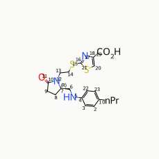 CCCc1ccc(NC[C@H]2CCC(=O)N2CCSc2nc(C(=O)O)cs2)cc1